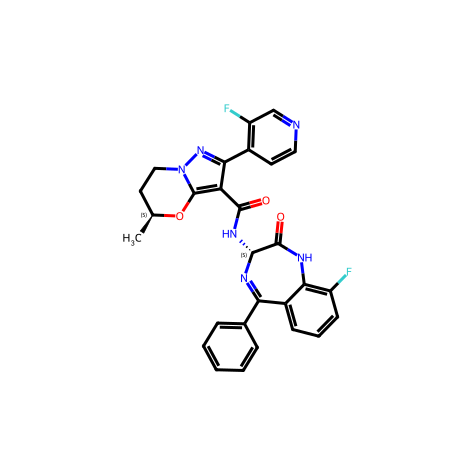 C[C@H]1CCn2nc(-c3ccncc3F)c(C(=O)N[C@H]3N=C(c4ccccc4)c4cccc(F)c4NC3=O)c2O1